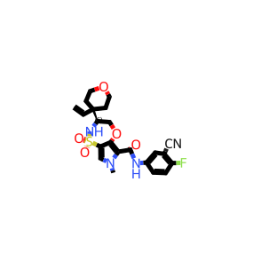 C=CC1([C@H]2COc3c(cn(C)c3C(=O)Nc3ccc(F)c(C#N)c3)S(=O)(=O)N2)CCOCC1